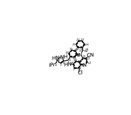 CC(C)N1C=C([C@@H](Nc2cc(Cl)c3ncc(C#N)c(N[C@H](C)c4ccccc4)c3c2)c2ccccc2)NN1